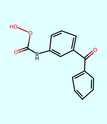 O=C(Bc1cccc(C(=O)c2ccccc2)c1)OO